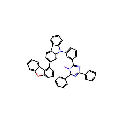 IN1C(c2cccc(-n3c4ccccc4c4ccc(-c5cccc6oc7ccccc7c56)cc43)c2)=NC(c2ccccc2)=NC1c1ccccc1